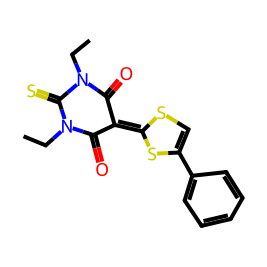 CCN1C(=O)C(=C2SC=C(c3ccccc3)S2)C(=O)N(CC)C1=S